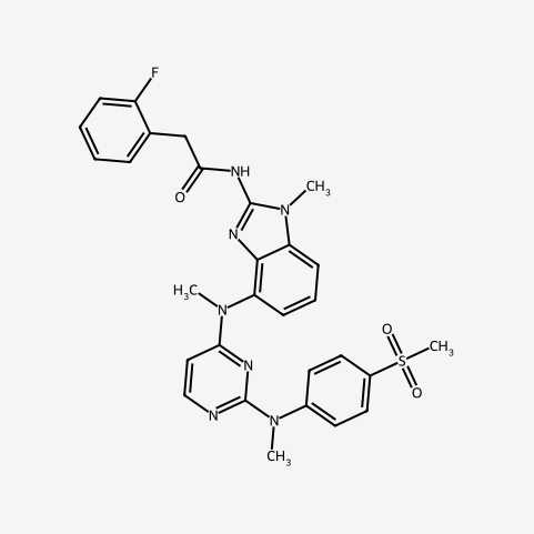 CN(c1ccc(S(C)(=O)=O)cc1)c1nccc(N(C)c2cccc3c2nc(NC(=O)Cc2ccccc2F)n3C)n1